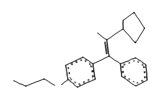 CCC(=C(c1ccccc1)c1ccc(OCCBr)cc1)C1CCCC1